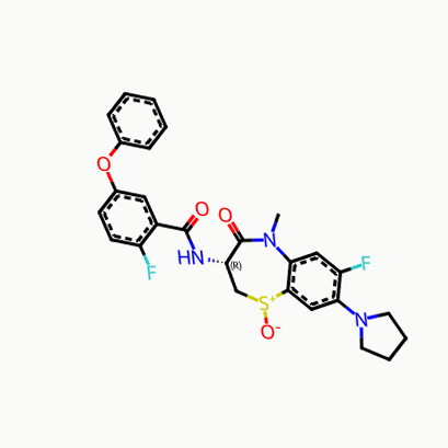 CN1C(=O)[C@@H](NC(=O)c2cc(Oc3ccccc3)ccc2F)C[S+]([O-])c2cc(N3CCCC3)c(F)cc21